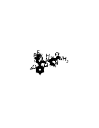 COc1cccc(F)c1C1CC(C)(C(F)(F)F)OC1C(=O)Nc1ccnc(C(N)=O)c1